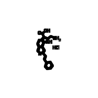 Cl.NCc1[nH]c2c(ccc3cnc(/C=C/c4ccccc4)cc32)c1C(=O)O